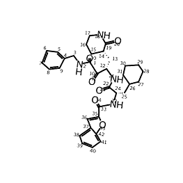 O=C(NCc1ccccc1)C(=O)[C@H](C[C@@H]1CCCNC1=O)NC(=O)[C@H](CC1CCCCC1)NC(=O)c1cc2ccccc2o1